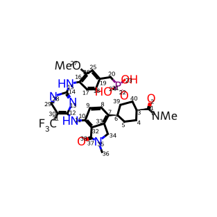 CNC(=O)[C@H]1CC[C@@H](c2ccc(Nc3nc(Nc4ccc(CP(=O)(O)O)cc4OC)ncc3C(F)(F)F)c3c2CN(C)C3=O)CC1